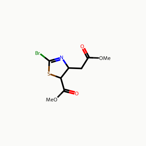 COC(=O)CC1N=C(Br)SC1C(=O)OC